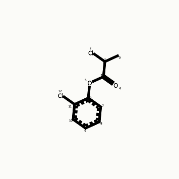 CC(Cl)C(=O)Oc1ccccc1Cl